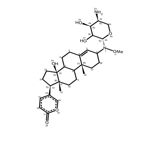 CON(C1C=C2CCC3C(CC[C@]4(C)[C@@H](c5ccc(=O)oc5)CC[C@]34O)[C@@]2(C)CC1)[C@H]1OC[C@H](N)[C@H](O)C1O